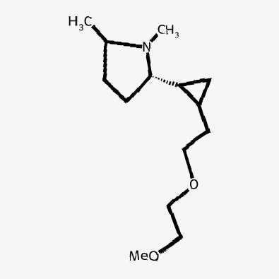 COCCOCCC1CC1[C@@H]1CCC(C)N1C